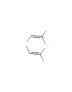 ClC1=CNC=C(Cl)N1